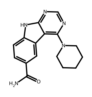 NC(=O)c1ccc2[nH]c3ncnc(N4CCCCC4)c3c2c1